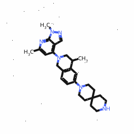 Cc1cc(N2Cc3ccc(N4CCC5(CCNCC5)CC4)cc3C(C)C2)c2cnn(C)c2n1